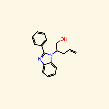 C=CCC(CO)n1c(-c2ccccc2)nc2ccccc21